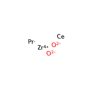 [Ce].[O-2].[O-2].[Pr].[Zr+4]